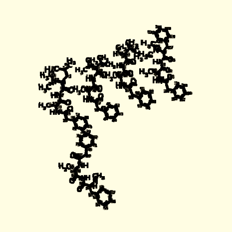 CC(C)C[C@@H](C(=O)NC(=O)[C@H](C)NC(=O)Cc1ccccc1)N(C)C.CC(C)[C@@H](C(=O)NC(=O)[C@H](C)NC(=O)Cc1ccccc1)N(C)C.CN[C@@H](Cc1ccccc1)C(=O)NC(=O)[C@H](C)NC(=O)Cc1ccccc1.CN[C@H](C(=O)NC(=O)[C@H](C)NC(=O)Cc1ccccc1)C(C)C.C[C@H](NC(=O)Cc1ccccc1)C(=O)NC(=O)[C@H](Cc1ccccc1)N(C)C